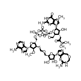 CO[C@@H]1[C@H](SCOC[C@H]2O[C@@H](n3cnc4c3/N=C(/N)NCOC4)[C@H](O)[C@@H]2O)[C@@H](COP(=O)(O)OP(=O)(O)OP(=O)([O-])OC[C@H]2O[C@@H](n3c[n+](C)c4c(=O)[nH]c(N)nc43)[C@H](O)[C@@H]2CC(=O)N(C)C)O[C@H]1n1cnc2c(N)ncnc21